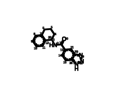 O=C(N[C@@H]1CCCc2ccccc21)c1ccc2[nH]nnc2c1